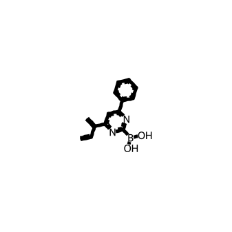 C=CC(=C)c1cc(-c2ccccc2)nc(B(O)O)n1